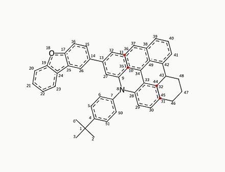 CC(C)(C)c1ccc(N(c2cccc(-c3ccc4oc5ccccc5c4c3)c2)c2ccccc2-c2cccc3cccc(C4CCCCC4)c23)cc1